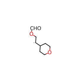 O=COC[CH]C1CCOCC1